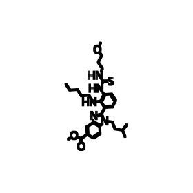 CCCCCNc1c(NC(=S)NCCCOC)cccc1-c1nc2cc(C(=O)OC)ccc2n1CCC(C)C